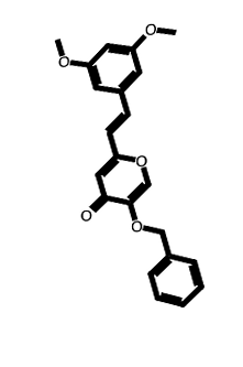 COc1cc(/C=C/c2cc(=O)c(OCc3ccccc3)co2)cc(OC)c1